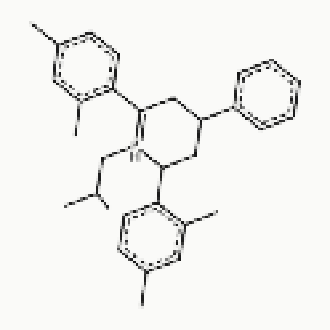 Cc1ccc(C2=[PH](CC(C)C)C(c3ccc(C)cc3C)CC(c3ccccc3)C2)c(C)c1